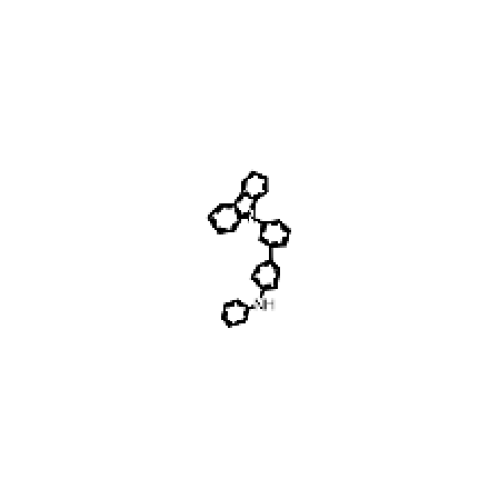 c1ccc(Nc2ccc(-c3cccc(-n4c5ccccc5c5ccccc54)c3)cc2)cc1